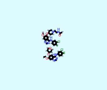 CCOc1cc2ncnc(Nc3ccc(F)c(Cl)c3)c2cc1OC1CCOCC1.COc1cc2ncnc(Nc3ccc(F)c(Cl)c3)c2cc1OC1CCN(CCNC(C)=O)CC1